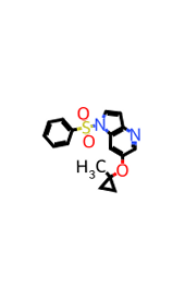 CC1(Oc2cnc3ccn(S(=O)(=O)c4ccccc4)c3c2)CC1